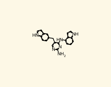 Nc1ncc(Cc2ccc3[nH]ccc3c2)c(Nc2cccc3[nH]ccc23)n1